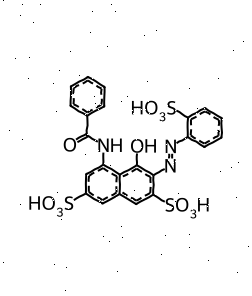 O=C(Nc1cc(S(=O)(=O)O)cc2cc(S(=O)(=O)O)c(N=Nc3ccccc3S(=O)(=O)O)c(O)c12)c1ccccc1